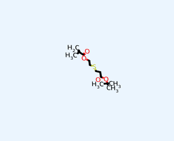 C=C(C)C(=O)OCCSCCC(=O)OC(C)(C)C